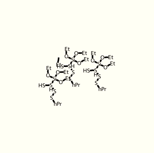 CCC.CCCSS[SH](S)[Si](OCC)(OCC)OCC.CCCSS[SH](S)[Si](OCC)(OCC)OCC.CCCSS[SH](S)[Si](OCC)(OCC)OCC